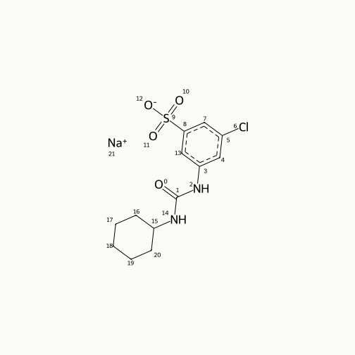 O=C(Nc1cc(Cl)cc(S(=O)(=O)[O-])c1)NC1CCCCC1.[Na+]